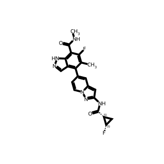 CNC(=O)c1c(F)c(C)c(-c2ccn3nc(NC(=O)[C@@H]4C[C@@H]4F)cc3c2)c2cn[nH]c12